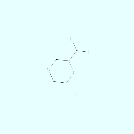 O[C@@H]1CNCC(C(F)F)C1